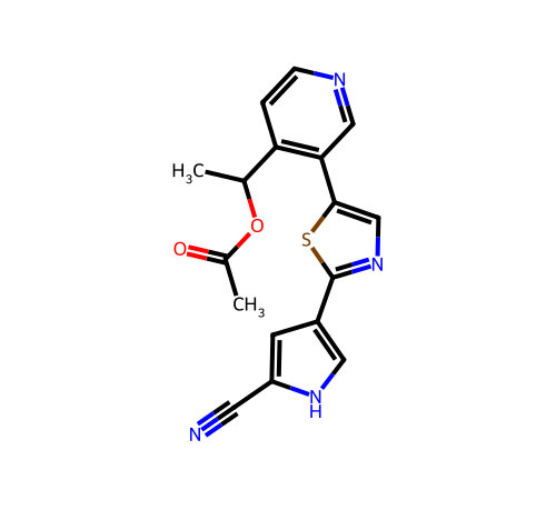 CC(=O)OC(C)c1ccncc1-c1cnc(-c2c[nH]c(C#N)c2)s1